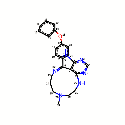 CNc1ncnc2c1/C(c1ccc(Oc3ccccc3)cc1)=N\CCCN(C)CCN2